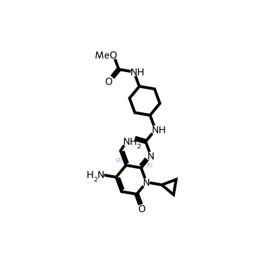 C=C(/N=C1\C(=C/N)C(N)=CC(=O)N1C1CC1)NC1CCC(NC(=O)OC)CC1